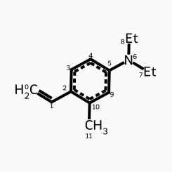 C=Cc1ccc(N(CC)CC)cc1C